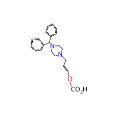 O=C(O)COCC=CCN1CCN(C(c2ccccc2)c2ccccc2)CC1